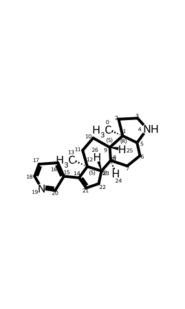 C[C@]12CCNC1CC[C@@H]1[C@@H]2CC[C@]2(C)C(c3cccnc3)=CC[C@@H]12